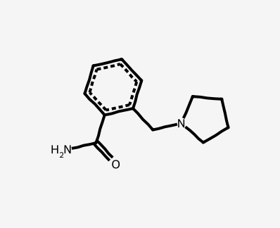 NC(=O)c1ccccc1CN1CCCC1